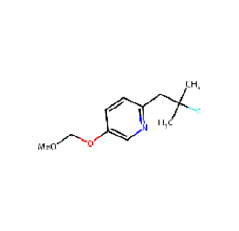 COCOc1ccc(CC(C)(C)F)nc1